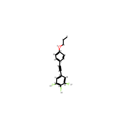 CCCOc1ccc(C#Cc2cc(F)c(F)c(F)c2)cc1